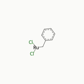 [Cl][Ru]([Cl])[CH2]c1ccccc1